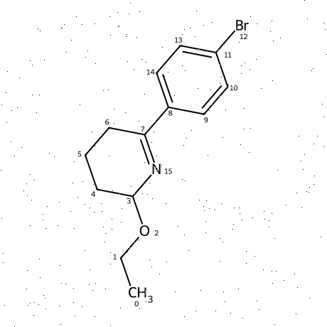 CCOC1CCCC(c2ccc(Br)cc2)=N1